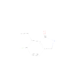 CCc1c(F)ccc2c1C(=O)NC2